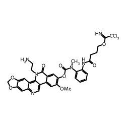 COc1cc2c(cc1OC(=O)N(C)c1ccccc1NC(=O)CCCOC(=N)C(Cl)(Cl)Cl)c(=O)n(CCN)c1c3cc4c(cc3ncc21)OCO4